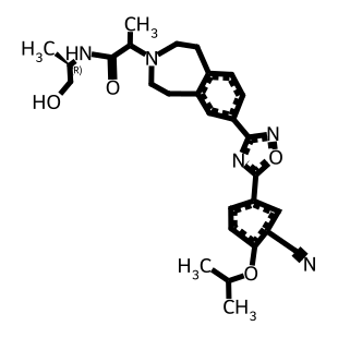 CC(C)Oc1ccc(-c2nc(-c3ccc4c(c3)CCN(C(C)C(=O)N[C@H](C)CO)CC4)no2)cc1C#N